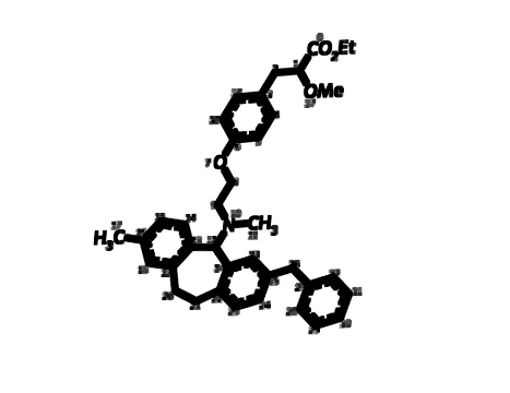 CCOC(=O)C(Cc1ccc(OCCN(C)C2c3ccc(C)cc3CCc3ccc(Cc4ccccc4)cc32)cc1)OC